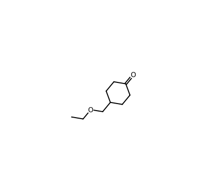 CCOCC1CCC(=O)CC1